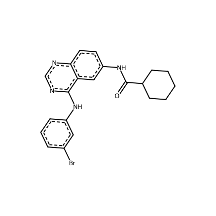 O=C(Nc1ccc2ncnc(Nc3cccc(Br)c3)c2c1)C1CCCCC1